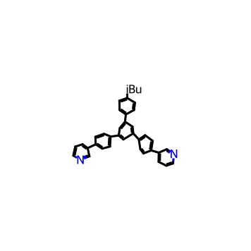 CCC(C)c1ccc(-c2cc(-c3ccc(-c4cccnc4)cc3)cc(-c3ccc(-c4cccnc4)cc3)c2)cc1